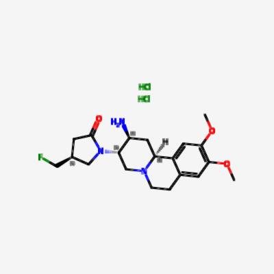 COc1cc2c(cc1OC)[C@@H]1C[C@H](N)[C@@H](N3C[C@@H](CF)CC3=O)CN1CC2.Cl.Cl